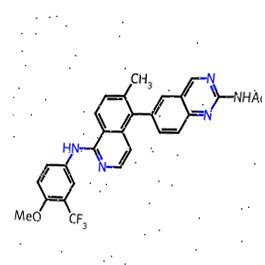 COc1ccc(Nc2nccc3c(-c4ccc5nc(NC(C)=O)ncc5c4)c(C)ccc23)cc1C(F)(F)F